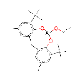 CC[O][Al]1[O]c2c(cc(C)cc2C(C)(C)C)Cc2cc(C)cc(C(C)(C)C)c2[O]1